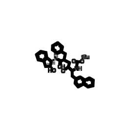 CC(C)(C)OC(=O)NC(Cc1ccc2ccccc2c1)C(O)CC(Cc1ccccc1)C(=O)N[C@H]1c2ccccc2C[C@@H]1O